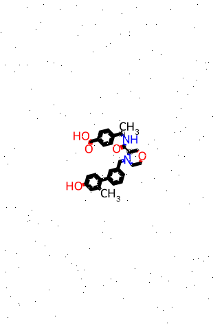 Cc1cc(O)ccc1-c1cccc(CN2CCOC[C@@H]2C(=O)N[C@@H](C)c2ccc(C(=O)O)cc2)c1